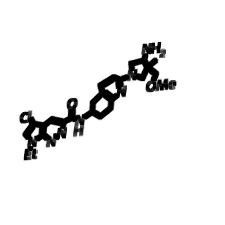 CCn1cc(Cl)c2cc(C(=O)NC3CCc4nc(N5CC(N)C(C)(COC)C5)ccc4C3)nnc21